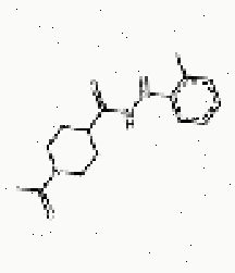 CC(=O)N1CCC(C(=O)NNc2ccccc2C)CC1